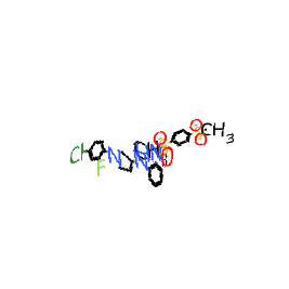 CN(c1ccccc1NS(=O)(=O)c1ccc(S(C)(=O)=O)cc1)C1CCN(c2ccc(Cl)cc2F)C1